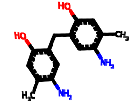 Cc1cc(O)c(Cc2cc(N)c(C)cc2O)cc1N